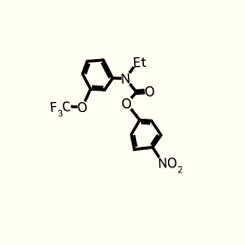 CCN(C(=O)Oc1ccc([N+](=O)[O-])cc1)c1cccc(OC(F)(F)F)c1